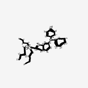 CCC[CH2][Sn]([CH2]CCC)([CH2]CCC)[c]1cc2ccc(N(c3ccccc3)c3ccccc3)cc2s1